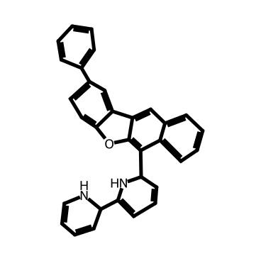 C1=CNC(C2=CC=CC(c3c4ccccc4cc4c3oc3ccc(-c5ccccc5)cc34)N2)C=C1